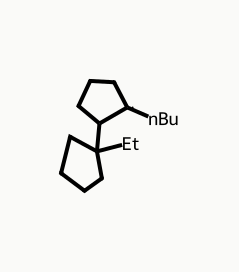 CCCC[C]1CCCC1C1(CC)CCCC1